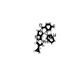 CN1[C@@H]2CC[C@H]1CC(Oc1cc(F)ccc1C(=O)N1Cc3nn4cc(C5CC5)cnc4c3C1)C2